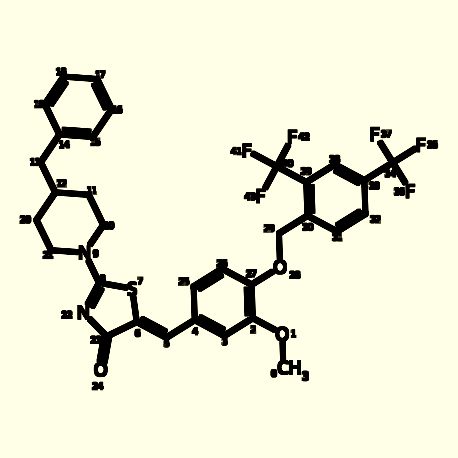 COc1cc(/C=C2\SC(N3CCC(Cc4ccccc4)CC3)=NC2=O)ccc1OCc1ccc(C(F)(F)F)cc1C(F)(F)F